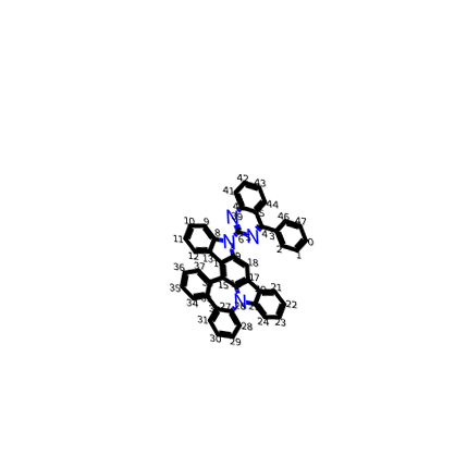 c1ccc(-c2nc(-n3c4ccccc4c4c5c6c(cc43)c3ccccc3n6-c3ccccc3-c3ccccc3-5)nc3ccccc23)cc1